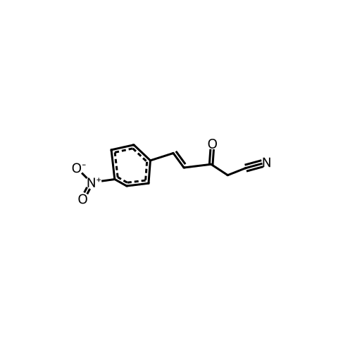 N#CCC(=O)/C=C/c1ccc([N+](=O)[O-])cc1